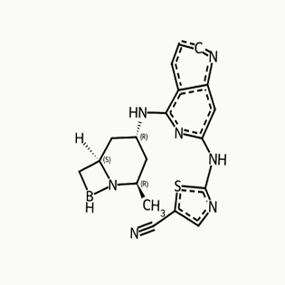 C[C@@H]1C[C@@H](Nc2nc(Nc3ncc(C#N)s3)cc3ncccc23)C[C@@H]2CBN21